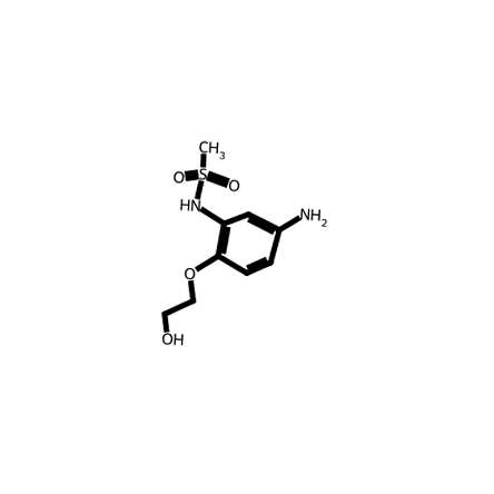 CS(=O)(=O)Nc1cc(N)ccc1OCCO